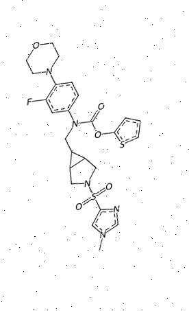 Cn1cnc(S(=O)(=O)N2CC3C(CN(C(=O)Oc4cccs4)c4ccc(N5CCOCC5)c(F)c4)C3C2)c1